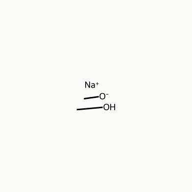 CO.C[O-].[Na+]